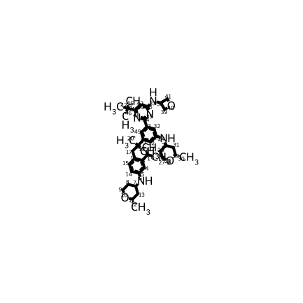 CC(C)c1cc(NC2CCO[C@H](C)C2)ccc1CC(C)(C)c1cc(NC2CCO[C@@H](C)C2)cc(-c2nc(NC3COC3)cc(C(C)(C)C)n2)c1